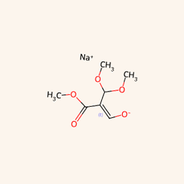 COC(=O)/C(=C/[O-])C(OC)OC.[Na+]